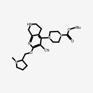 CN1CCCC1COc1nc2c(c(N3CCN(C(=O)OC(C)(C)C)CC3)c1C#N)CCNC2